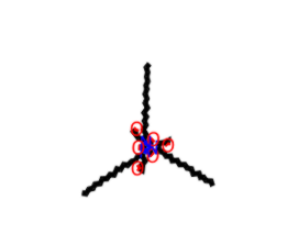 CCCCCCCCCCCCCCCCCC(CC1CO1)n1c(=O)n(C(CCCCCCCCCCCCCCCCC)CC2CO2)c(=O)n(C(CCCCCCCCCCCCCCCCC)CC2CO2)c1=O